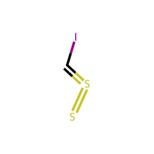 S=S=CI